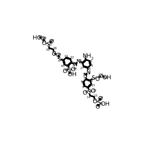 Nc1ccc(N=Nc2ccc(S(=O)(=O)CCOS(=O)(=O)O)cc2SOOO)cc1N=Nc1ccc(SOOCCS(=O)OOO)cc1S(=O)(=O)O